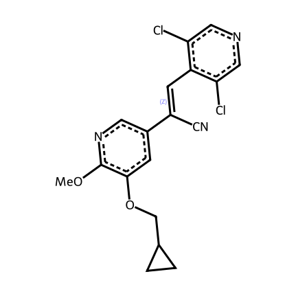 COc1ncc(/C(C#N)=C/c2c(Cl)cncc2Cl)cc1OCC1CC1